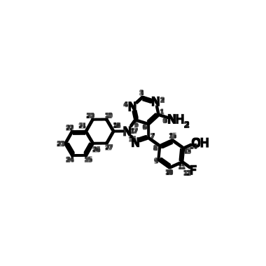 Nc1ncnc2c1c(-c1ccc(F)c(O)c1)nn2C1CCc2ccccc2C1